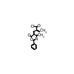 C=c1nc(-c2ccccc2)oc(=O)c1=CC(=CC)C(=O)Cl